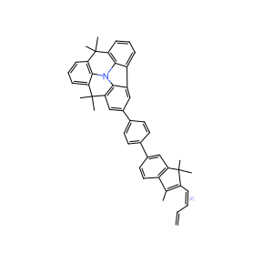 C=C/C=C\C1=C(C)c2ccc(-c3ccc(-c4cc5c6c(c4)c4cccc7c4n6-c4c(cccc4C5(C)C)C7(C)C)cc3)cc2C1(C)C